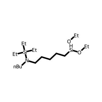 CCCCN(CCCCC[SiH](OCC)OCC)[Si](CC)(CC)CC